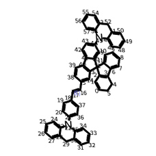 C1=CC2=C(CC1)c1ccccc1C21c2cc(/C=C/c3ccc(N4c5ccccc5Cc5ccccc54)cc3)ccc2-c2ccc(N3c4ccccc4Cc4ccccc43)cc21